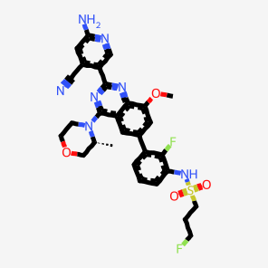 COc1cc(-c2cccc(NS(=O)(=O)CCCF)c2F)cc2c(N3CCOC[C@H]3C)nc(-c3cnc(N)cc3C#N)nc12